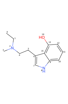 CCN(C)CCc1c[nH]c2cccc(O)c12